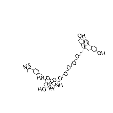 Cc1ncsc1-c1ccc(CNC(=O)[C@@H]2C[C@@H](O)CN2C(=O)[C@@H](NC(=O)COCCOCCOCCOCCOCCCC[C@@H]2Cc3cc(O)ccc3C3CC[C@]4(C)[C@@H](O)CC[C@H]4[C@@H]32)C(C)C)cc1